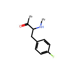 CC(C)NC(Cc1ccc(F)cc1)C(=O)C(C)C